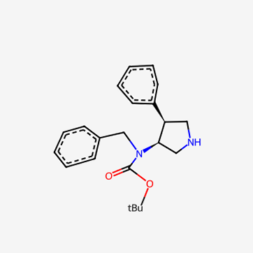 CC(C)(C)OC(=O)N(Cc1ccccc1)[C@@H]1CNC[C@@H]1c1ccccc1